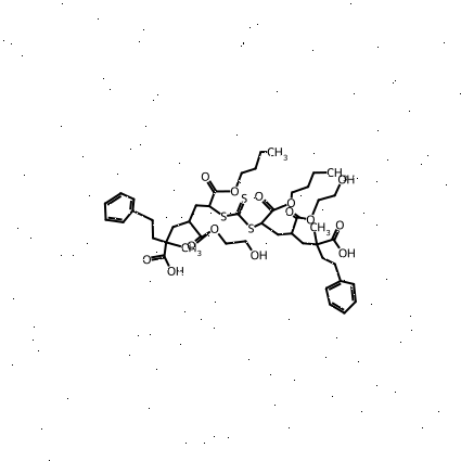 CCCCOC(=O)C(CC(CC(C)(CCc1ccccc1)C(=O)O)C(=O)OCCO)SC(=S)SC(CC(CC(C)(CCc1ccccc1)C(=O)O)C(=O)OCCO)C(=O)OCCCC